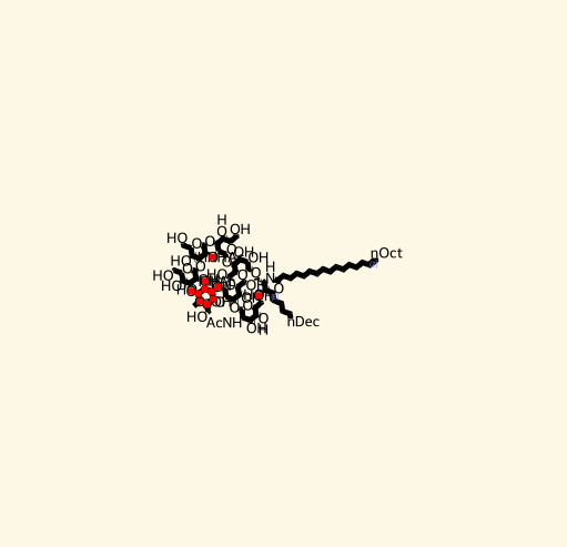 CCCCCCCC/C=C\CCCCCCCCCCCCCC(=O)N[C@@H](CO[C@@H]1OC(CO)[C@@H](O[C@@H]2OC(CO)[C@H](O)[C@H](O[C@@H]3OC(CO)[C@@H](O)[C@H](O[C@@H]4OC(CO)[C@H](O)[C@H](O[C@@H]5OC(CO)[C@@H](O)[C@H](O[C@@H]6OC(CO)[C@H](O)[C@H](O[C@H]7OC(CO)[C@H](O)[C@H](O)C7NC(C)=O)C6O[C@H]6OC(C)[C@@H](O)C(O)[C@@H]6O)C5NC(C)=O)C4O)C3NC(C)=O)C2O)[C@H](O)C1O)[C@H](O)/C=C/CCCCCCCCCCCCC